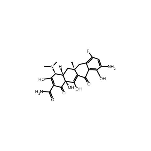 CN(C)[C@@H]1C(O)=C(C(N)=O)C(=O)[C@@]2(O)C(O)=C3C(=O)c4c(O)c(N)cc(F)c4C[C@@]3(C)C[C@@H]12